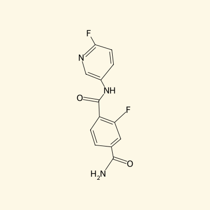 NC(=O)c1ccc(C(=O)Nc2ccc(F)nc2)c(F)c1